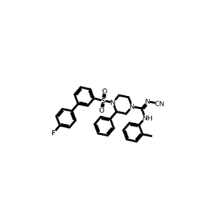 Cc1ccccc1N/C(=N\C#N)N1CCN(S(=O)(=O)c2cccc(-c3ccc(F)cc3)c2)C(c2ccccc2)C1